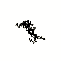 CCC(C)Cc1ccc(OC(=O)OC(C)(C)C)cc1